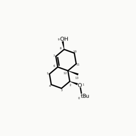 CC(C)(C)O[C@H]1CCCC2=C[C@@H](O)CC[C@@]21C